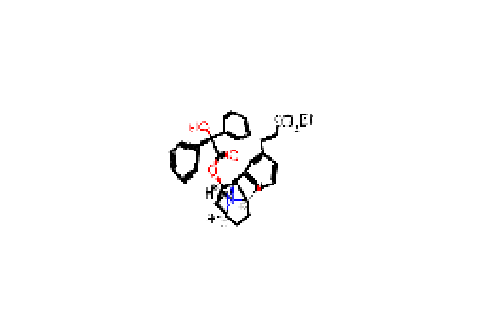 CCOC(=O)CCc1cccc(C[N@+]2(C)[C@@H]3CC[C@H]2C[C@@H](OC(=O)C(O)(c2ccccc2)c2ccccc2)C3)c1